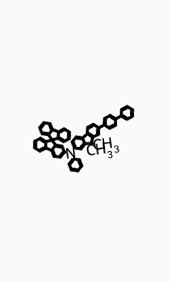 CC1(C)c2cc(-c3ccc(-c4ccccc4)cc3)ccc2-c2ccc(N(c3ccccc3)c3ccc4c(c3)C3(c5ccccc5-c5ccccc53)c3ccccc3-4)cc21